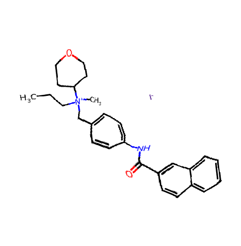 CCC[N+](C)(Cc1ccc(NC(=O)c2ccc3ccccc3c2)cc1)C1CCOCC1.[I-]